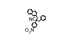 N#CC(Cc1ccccc1)(Cc1ccc2ccccc2c1)c1ccc([N+](=O)[O-])cc1